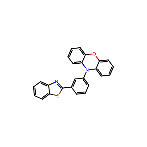 c1cc(-c2nc3ccccc3s2)cc(N2c3ccccc3Oc3ccccc32)c1